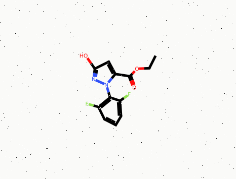 CCOC(=O)c1cc(O)nn1-c1c(F)cccc1F